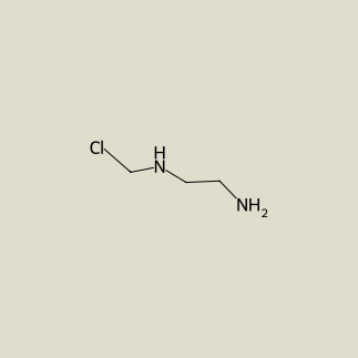 NCCNCCl